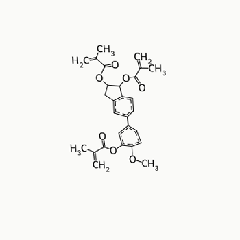 C=C(C)C(=O)Oc1cc(-c2ccc3c(c2)CC(OC(=O)C(=C)C)C3OC(=O)C(=C)C)ccc1OC